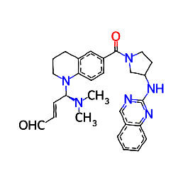 CN(C)[C@@H](/C=C/C=O)N1CCCc2cc(C(=O)N3CCC(Nc4ncc5ccccc5n4)C3)ccc21